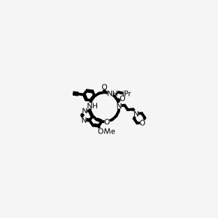 C#Cc1ccc2c(c1)Nc1ncnc3cc(OC)c(cc13)OCCCN(CCCN1CCOCC1)C(=O)[C@H](CC(C)C)NC(=O)C2